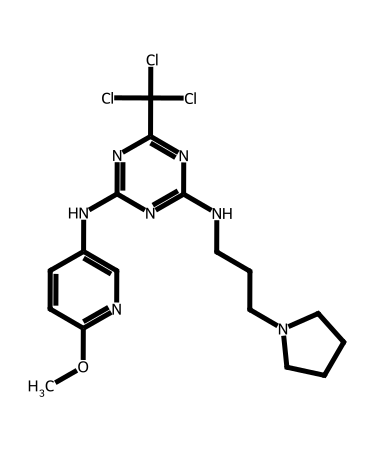 COc1ccc(Nc2nc(NCCCN3CCCC3)nc(C(Cl)(Cl)Cl)n2)cn1